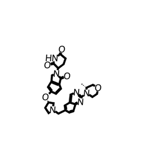 C[C@@H]1COCCN1c1ncc2cc(CN3CC[C@H](Oc4ccc5c(c4)CN(C4CCC(=O)NC4=O)C5=O)C3)ccc2n1